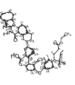 CCOC(=O)CC[C@H](c1ccc(Oc2cccc(-c3ccc(N4CCc5cccc(C(=O)Nc6nc7ccccc7s6)c5C4)nc3C(=O)O)c2C)cc1)C(F)(F)F